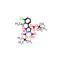 CN1O[C@H]2N(C(=O)OC(C)(C)C)[C@H](C(=O)O)C[C@@]2(OC(=O)OC(C)(C)C)C2=CCC=C(Cl)C21